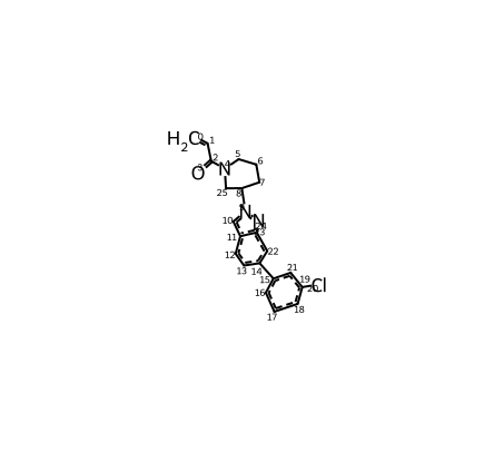 C=CC(=O)N1CCCC(n2cc3ccc(-c4cccc(Cl)c4)cc3n2)C1